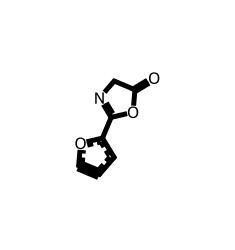 O=C1CN=C(c2cc#co2)O1